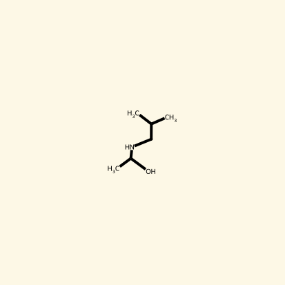 CC(C)CNC(C)O